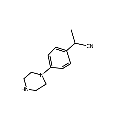 CC(C#N)c1ccc(N2CCNCC2)cc1